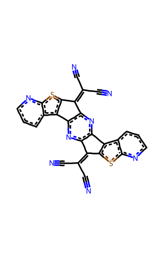 N#CC(C#N)=C1c2nc3c(nc2-c2c1sc1ncccc21)C(=C(C#N)C#N)c1sc2ncccc2c1-3